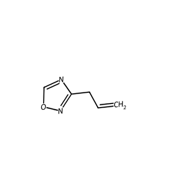 C=CCc1ncon1